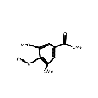 COC(=O)c1cc(OC)c(OC(C)C)c(OC)c1